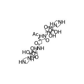 CC(=O)CSC(CC(=O)NC[C@@]12CO[C@@H](O1)[C@H](N1CCNCC1)[C@@H](O)[C@H]2O)C(=O)NC[C@@]12CO[C@@H](O1)[C@H](N1CCNCC1)[C@@H](O)[C@H]2O